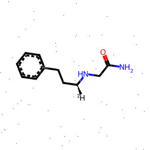 [2H][C@@H](CCc1ccccc1)NCC(N)=O